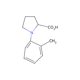 Cc1ccccc1N1CCCC1C(=O)O